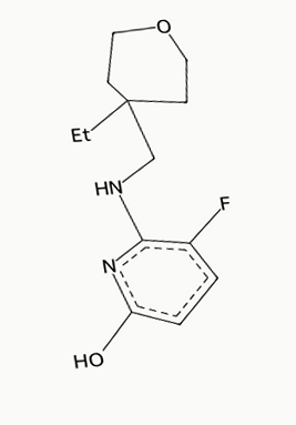 CCC1(CNc2nc(O)ccc2F)CCOCC1